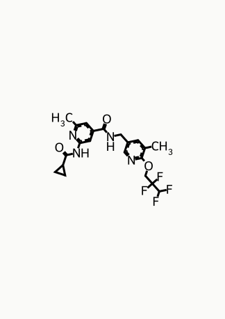 Cc1cc(C(=O)NCc2cnc(OCC(F)(F)C(F)F)c(C)c2)cc(NC(=O)C2CC2)n1